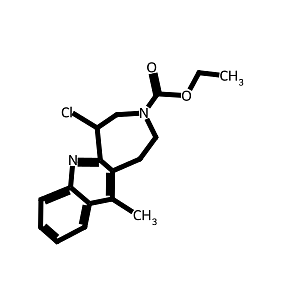 CCOC(=O)N1CCc2c(nc3ccccc3c2C)C(Cl)C1